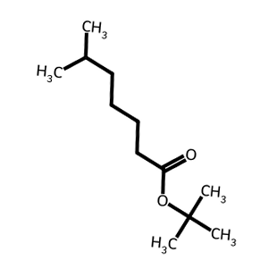 CC(C)CCCCC(=O)OC(C)(C)C